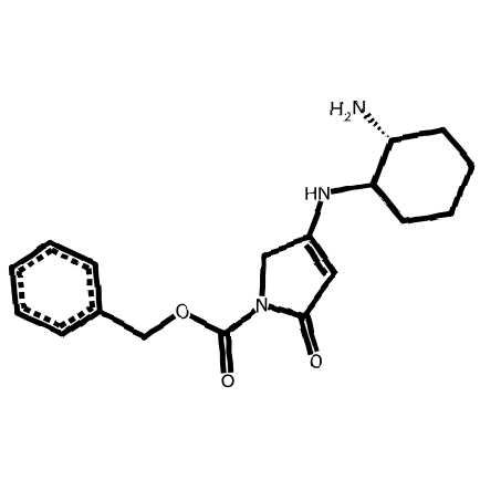 N[C@@H]1CCCCC1NC1=CC(=O)N(C(=O)OCc2ccccc2)C1